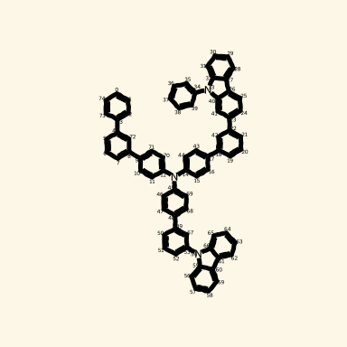 c1ccc(-c2cccc(-c3ccc(N(c4ccc(-c5cccc(-c6ccc7c8ccccc8n(-c8ccccc8)c7c6)c5)cc4)c4ccc(-c5cccc(-n6c7ccccc7c7ccccc76)c5)cc4)cc3)c2)cc1